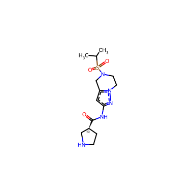 CC(C)S(=O)(=O)N1CCn2nc(NC(=O)[C@H]3CCNC3)cc2C1